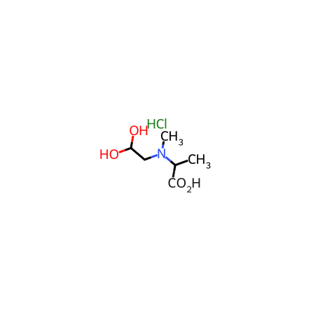 CC(C(=O)O)N(C)CC(O)O.Cl